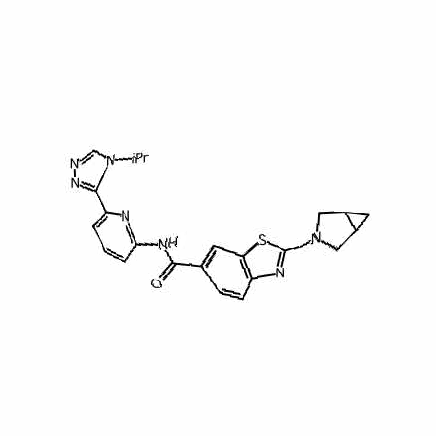 CC(C)n1cnnc1-c1cccc(NC(=O)c2ccc3nc(N4CC5CC5C4)sc3c2)n1